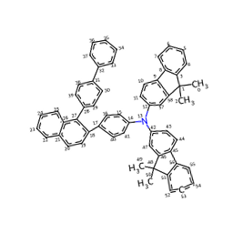 CC1(C)c2ccccc2-c2ccc(N(c3ccc(-c4ccc5ccccc5c4-c4ccc(-c5ccccc5)cc4)cc3)c3ccc4c(c3)C(C)(C)c3ccccc3-4)cc21